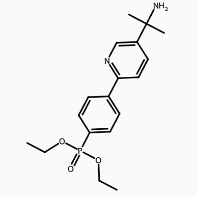 CCOP(=O)(OCC)c1ccc(-c2ccc(C(C)(C)N)cn2)cc1